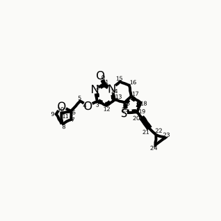 O=c1nc(OCC23CC(CO2)C3)cc2n1CCc1cc(C#CC3CC3)sc1-2